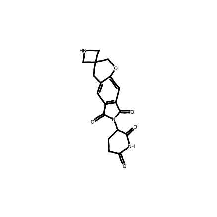 O=C1CCC(N2C(=O)c3cc4c(cc3C2=O)OCC2(CNC2)C4)C(=O)N1